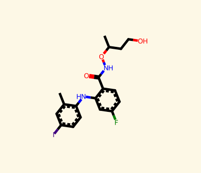 Cc1cc(I)ccc1Nc1cc(F)ccc1C(=O)NOC(C)CCO